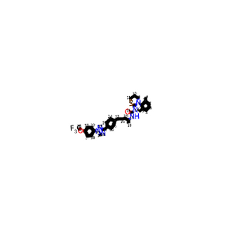 Cc1cccc(C)c1N1CCCS/C1=N\C(=O)NC(C)CCCc1ccc(-c2ncn(-c3ccc(OC(F)(F)F)cc3)n2)cc1